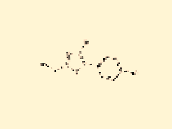 CCCc1ccc(-c2sc(CBr)nc2Br)cc1